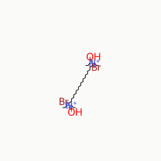 CCC[N+](CCC)(CCO)C(Br)CCCCCCCCCCCCCCCCCCC(Br)[N+](CCC)(CCC)CCO